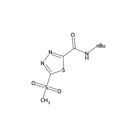 CCCCNC(=O)c1nnc(S(C)(=O)=O)s1